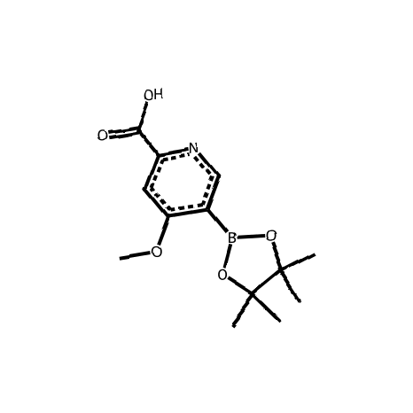 COc1cc(C(=O)O)ncc1B1OC(C)(C)C(C)(C)O1